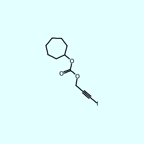 O=C(OCC#CI)OC1CCCCCC1